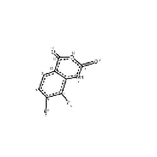 O=c1[nH]c2c(F)c(Br)ccc2c(=O)o1